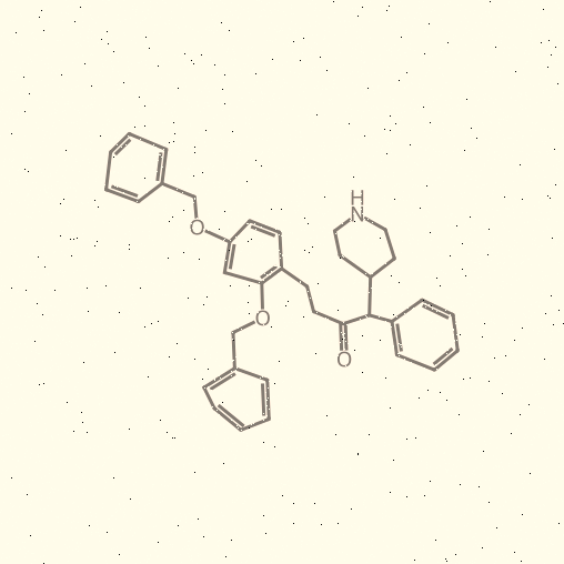 O=C(CCc1ccc(OCc2ccccc2)cc1OCc1ccccc1)C(c1ccccc1)C1CCNCC1